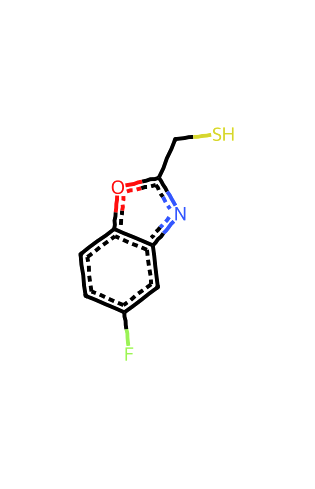 Fc1ccc2oc(CS)nc2c1